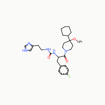 CCCOC1(C2CCCCC2)CCN(C(=O)C(Cc2ccc(F)cc2)NC(=O)NCCc2c[nH]cn2)CC1